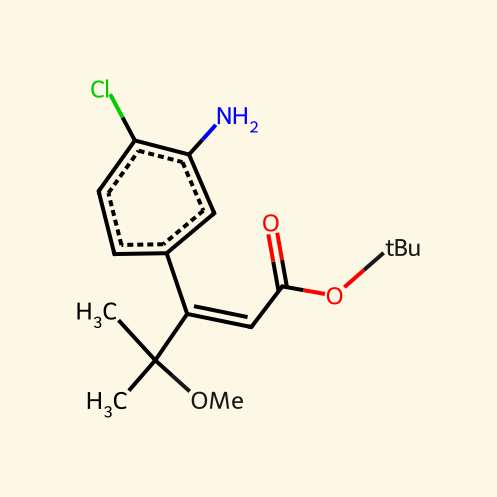 COC(C)(C)/C(=C/C(=O)OC(C)(C)C)c1ccc(Cl)c(N)c1